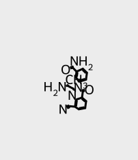 CC(N)c1nc2c(C#N)cccc2c(=O)n1-c1cccc(C(N)=O)c1